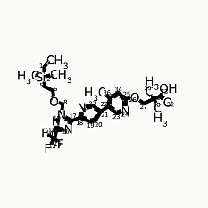 CC[Si](C)(C)CCOCn1nc(C(F)(F)F)nc1-c1ccc(-c2cnc(OCC(C)(C)C(=O)O)cc2C)cn1